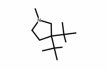 CN1CCC(C(C)(C)C)(C(C)(C)C)C1